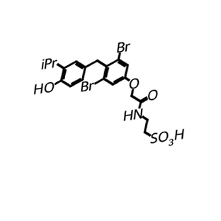 CC(C)c1cc(Cc2c(Br)cc(OCC(=O)NCCS(=O)(=O)O)cc2Br)ccc1O